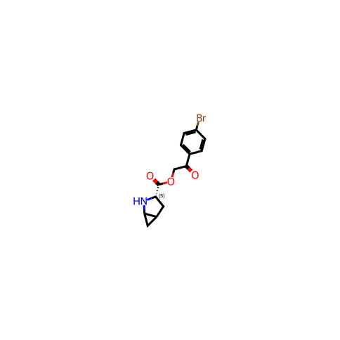 O=C(COC(=O)[C@@H]1CC2CC2N1)c1ccc(Br)cc1